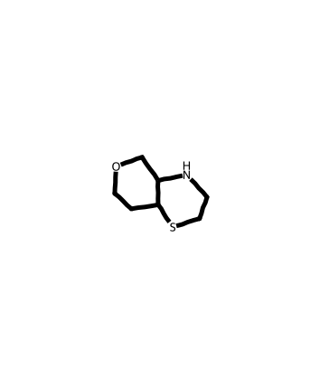 C1CSC2CCOCC2N1